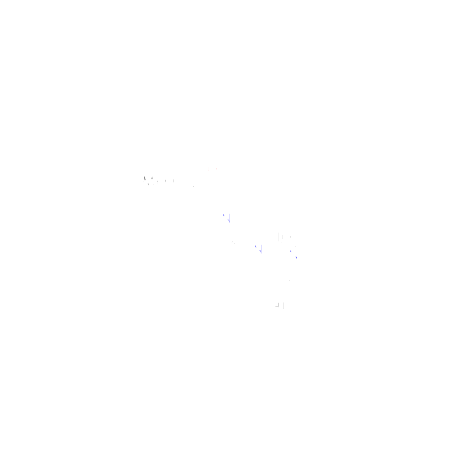 COC(=O)CNC(=S)NCC1(C(C)(C)C)CCCN1C(=O)O